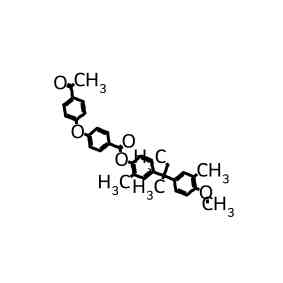 CCC(C)(c1ccc(OC)c(C)c1)c1ccc(OC(=O)c2ccc(Oc3ccc(C(C)=O)cc3)cc2)c(C)c1